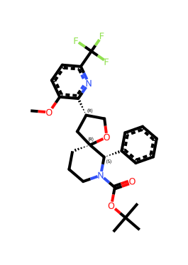 COc1ccc(C(F)(F)F)nc1[C@@H]1CO[C@]2(CCCN(C(=O)OC(C)(C)C)[C@H]2c2ccccc2)C1